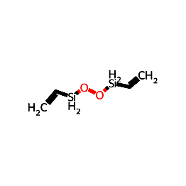 C=C[SiH2]OO[SiH2]C=C